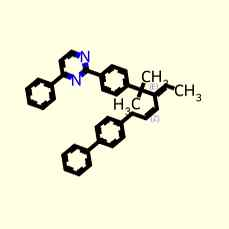 C/C=C(\C=C/Cc1ccc(-c2ccccc2)cc1)C(C)(C)c1ccc(-c2nccc(-c3ccccc3)n2)cc1